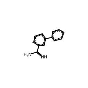 N=C(N)c1[c]ccc(-c2ccccc2)c1